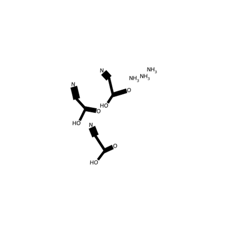 N.N.N.N#CC(=O)O.N#CC(=O)O.N#CC(=O)O